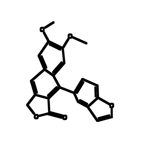 COc1cc2cc3c(c(-c4ccc5occc5c4)c2cc1OC)C(=O)OC3